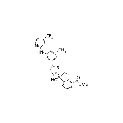 COC(=O)c1cccc2c1CC[C@]2(O)c1ncc(-c2cc(C)cc(Nc3cc(C(F)(F)F)ccn3)n2)s1